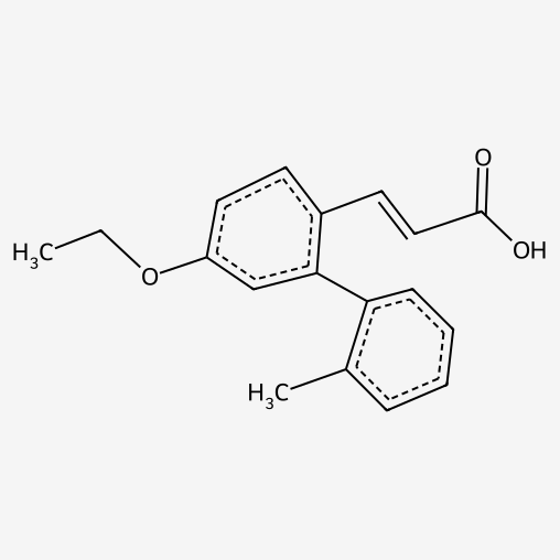 CCOc1ccc(C=CC(=O)O)c(-c2ccccc2C)c1